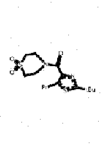 CC(C)c1sc(C(C)(C)C)nc1C(=O)N1CCS(=O)(=O)CC1